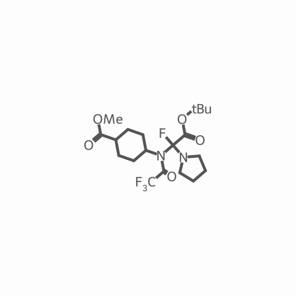 COC(=O)C1CCC(N(C(=O)C(F)(F)F)C(F)(C(=O)OC(C)(C)C)N2CCCC2)CC1